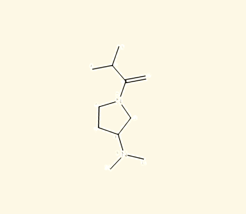 C=C(C(C)C)N1CCC(N(C)C)C1